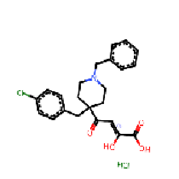 Cl.O=C(O)/C(O)=C/C(=O)C1(Cc2ccc(Cl)cc2)CCN(Cc2ccccc2)CC1